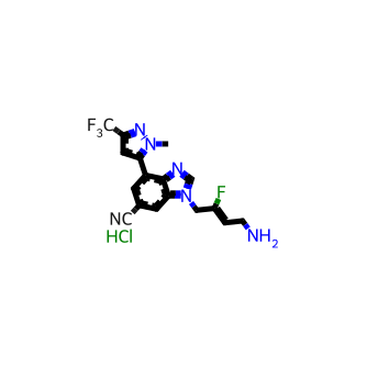 Cl.Cn1nc(C(F)(F)F)cc1-c1cc(C#N)cc2c1ncn2C/C(F)=C/CN